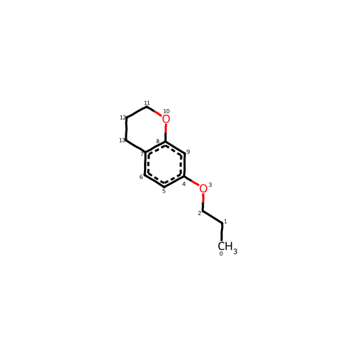 CCCOc1ccc2c(c1)OCCC2